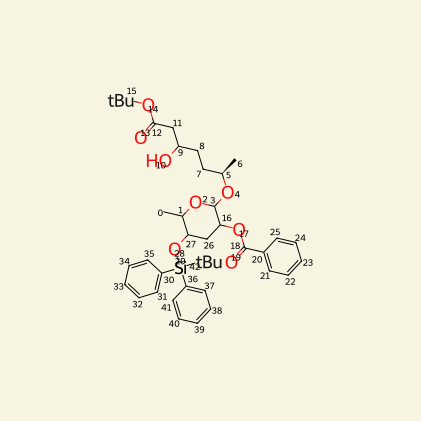 CC1OC(O[C@H](C)CCC(O)CC(=O)OC(C)(C)C)C(OC(=O)c2ccccc2)CC1O[Si](c1ccccc1)(c1ccccc1)C(C)(C)C